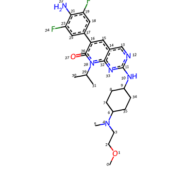 COCCN(C)C1CCC(Nc2ncc3cc(-c4cc(F)c(N)c(F)c4)c(=O)n(C(C)C)c3n2)CC1